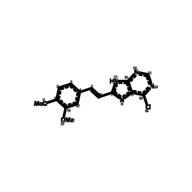 COc1ccc(/C=C/c2nc3c(Cl)ncnc3[nH]2)cc1OC